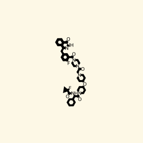 O=C(CN1CCC(OC2CCN(C(=O)[C@H](NC(=O)C3(F)CC3)C3CCCCC3)CC2)CC1)N1CCN(C(=O)c2cc(Cc3n[nH]c(=O)c4ccccc34)ccc2F)CC1